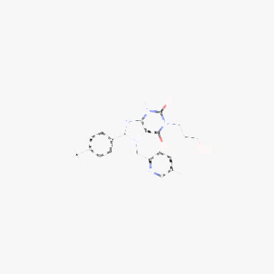 Cn1c2c(c(=O)n(CCCO)c1=O)N(Cc1ccc(Cl)cn1)C(c1ccc(C(F)(F)F)cc1)N2